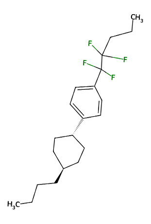 CCCC[C@H]1CC[C@H](c2ccc(C(F)(F)C(F)(F)CCC)cc2)CC1